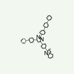 C1=CCC(c2ccc(-c3cc(-c4ccc(-c5nc6ccccc6s5)cc4)nc(-c4ccc(-c5ccc(-c6ccccc6)cc5)cc4)n3)cc2)C=C1